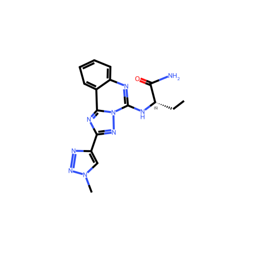 CC[C@H](Nc1nc2ccccc2c2nc(-c3cn(C)nn3)nn12)C(N)=O